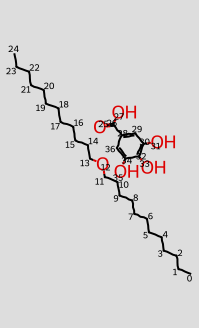 CCCCCCCCCCCCOCCCCCCCCCCCC.O=C(O)c1cc(O)c(O)c(O)c1